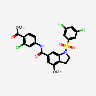 COC(=O)c1ccc(NC(=O)c2cc(OC)c3c(c2)N(S(=O)(=O)c2cc(Cl)cc(Cl)c2)CC3)cc1Cl